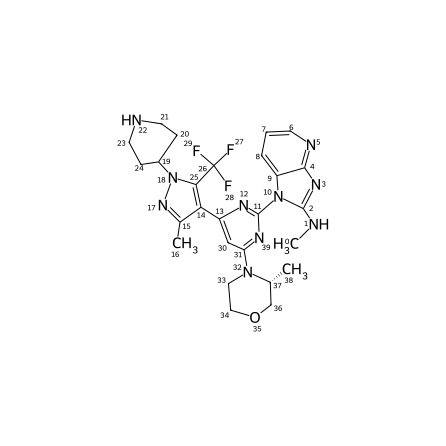 CNc1nc2ncccc2n1-c1nc(-c2c(C)nn(C3CCNCC3)c2C(F)(F)F)cc(N2CCOC[C@H]2C)n1